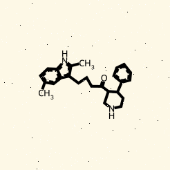 Cc1ccc2[nH]c(C)c(CCCC(=O)C3CNCCC3c3ccccc3)c2c1